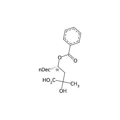 CCCCCCCCCC[C@@H](CC(C)(O)C(=O)O)OC(=O)c1ccccc1